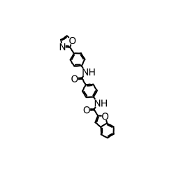 O=C(Nc1ccc(-c2ncco2)cc1)c1ccc(NC(=O)c2cc3ccccc3o2)cc1